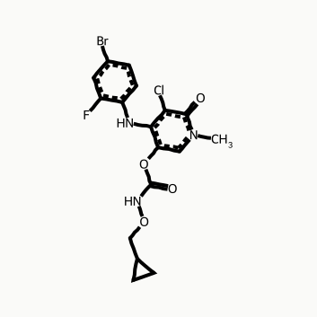 Cn1cc(OC(=O)NOCC2CC2)c(Nc2ccc(Br)cc2F)c(Cl)c1=O